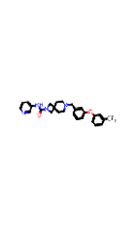 O=C(Nc1cccnc1)N1CC2(CCN(Cc3cccc(Oc4cccc(C(F)(F)F)c4)c3)CC2)C1